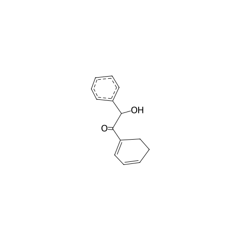 O=C(C1=CC=CCC1)C(O)c1ccccc1